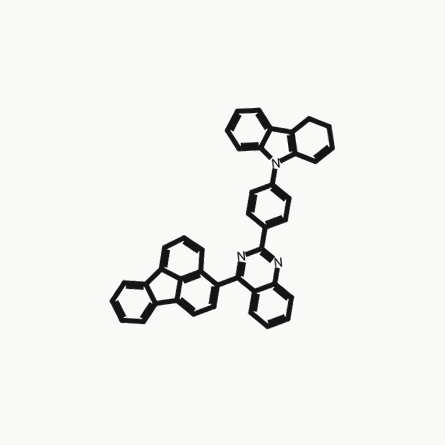 C1=Cc2c(c3ccccc3n2-c2ccc(-c3nc(-c4ccc5c6c(cccc46)-c4ccccc4-5)c4ccccc4n3)cc2)CC1